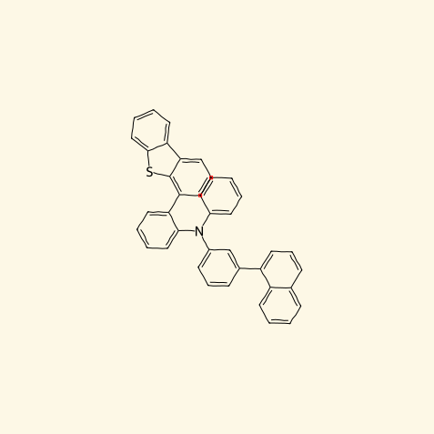 c1ccc(N(c2cccc(-c3cccc4ccccc34)c2)c2ccccc2-c2cccc3c2sc2ccccc23)cc1